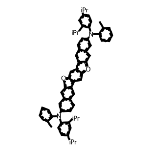 Cc1ccccc1N(c1ccc2cc3c(cc2c1)oc1cc2c(cc13)oc1cc3cc(N(c4ccccc4C)c4ccc(C(C)C)cc4C(C)C)ccc3cc12)c1ccc(C(C)C)cc1C(C)C